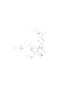 CCCOc1nc(N2CCCC(N)C2)cc(Nc2ccc(C(=O)N3CCOCC3)cc2)c1C(N)=O